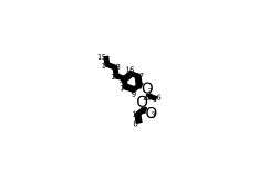 C=CC(=O)OC(C)Oc1ccc(CCCC)cc1